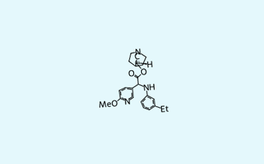 CCc1cccc(NC(C(=O)O[C@H]2CN3CCC2CC3)c2ccc(OC)nc2)c1